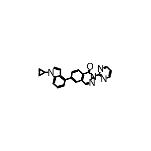 O=c1c2ccc(-c3cccc4c3ccn4C3CC3)cc2cnn1-c1ncccn1